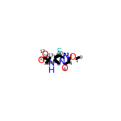 CCOc1cc(=O)n2cc(NC(C)(C)C(=O)OC)cc(F)c2n1